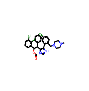 CN1CCN(Cc2ccc(Cl)cc2-c2[nH]cnc2C(c2ccccc2)C(OC=O)c2cccc(Cl)c2F)CC1